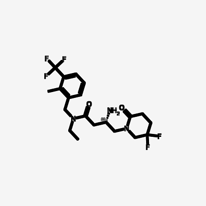 CCN(Cc1cccc(C(F)(F)F)c1C)C(=O)C[C@H](N)CN1CC(F)(F)CCC1=O